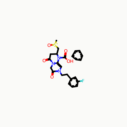 C[S+]([O-])CC1CC(=O)N2CC(=O)N(CCc3cccc(F)c3)C=C2N1C(=O)O.c1ccccc1